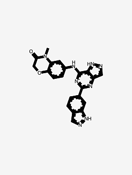 CN1C(=O)COc2ccc(Nc3nc(-c4ccc5cn[nH]c5c4)nc4cn[nH]c34)cc21